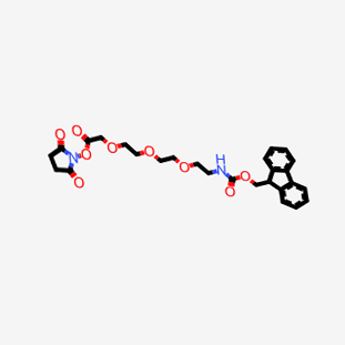 O=C(COCCOCCOCCNC(=O)OCC1c2ccccc2-c2ccccc21)ON1C(=O)CCC1=O